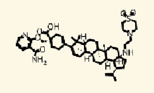 C=C(C)[C@@H]1CC[C@]2(NCCN3CCS(=O)(=O)CC3)CC[C@]3(C)[C@H](CC[C@@H]4[C@@]5(C)CC=C(C6=CC[C@](COc7ncccc7C(N)=O)(C(=O)O)CC6)C(C)(C)[C@@H]5CC[C@]43C)[C@@H]12